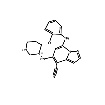 N#Cc1c(N[C@H]2CCCNC2)cc(Nc2ccccc2Cl)n2nccc12